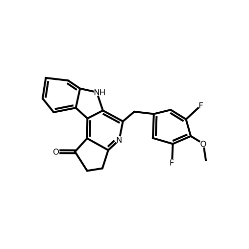 COc1c(F)cc(Cc2nc3c(c4c2[nH]c2ccccc24)C(=O)CC3)cc1F